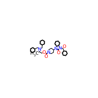 CC(COC(=O)N1CCC(n2c(=O)n(C(=O)c3ccccc3)c3ccccc32)CC1)N(Cc1ccccc1)Cc1ccccc1